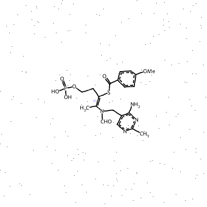 COc1ccc(C(=O)S/C(CCOP(=O)(O)O)=C(/C)N(C=O)Cc2cnc(C)nc2N)cc1